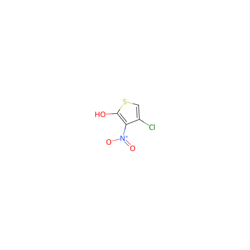 O=[N+]([O-])c1c(Cl)csc1O